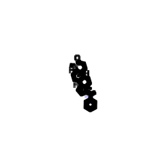 C/C(=C1/CC[C@H]2[C@@H]3CC[C@H]4N(C)C(=O)CC[C@]4(C)[C@H]3CC[C@]12C)c1ccccc1